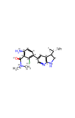 CC(C)[C@H]1C[C@@]12CNc1ncc(-c3ccc(N)c(C(=O)N(C)C)c3F)cc12